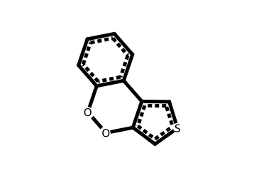 c1ccc2c(c1)OOc1cscc1-2